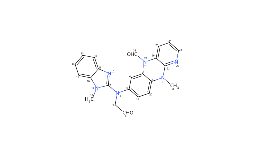 CN(c1ccc(N(CC=O)c2nc3ccccc3n2C)cc1)c1ncccc1NC=O